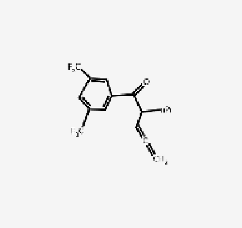 C=C=CC(CCC)C(=O)c1cc(C(F)(F)F)cc(C(F)(F)F)c1